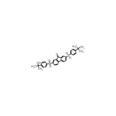 CC(C)(C)c1ccc(S(=O)(=O)c2ccc3c(c2)C(=O)c2cc(S(=O)(=O)c4ccc(C(C)(C)C)cc4)ccc2-3)cc1